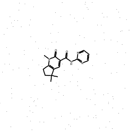 Cn1c2c(cc(C(=O)Nc3ncccn3)c1=O)C(C)(C)CC2